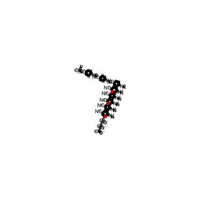 N#Cc1ccc([N+]#N)cc1.N#Cc1ccc([N+]#N)cc1.N#Cc1ccc([N+]#N)cc1.N#Cc1ccc([N+]#N)cc1.N#Cc1ccc([N+]#N)cc1.N#Cc1ccc([N+]#N)cc1.N#Cc1ccc([N+]#N)cc1.N#Cc1ccc([N+]#N)cc1.[O-]B([O-])F.[O-]B([O-])F.[O-]B([O-])F.[O-]B([O-])F